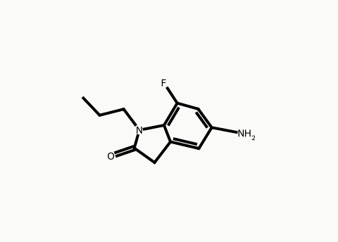 CCCN1C(=O)Cc2cc(N)cc(F)c21